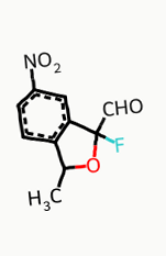 CC1OC(F)(C=O)c2cc([N+](=O)[O-])ccc21